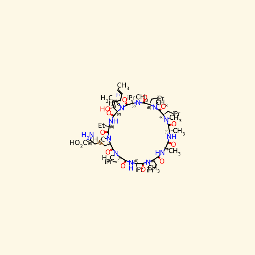 C/C=C/C[C@@H](C)[C@@H](O)[C@@H]1C(=O)N[C@H](CC)C(=O)N(C)[C@H](CSC[C@H](N)C(=O)O)C(=O)N(C)[C@@H](CC(C)C)C(=O)N[C@H](C(C)C)C(=O)N(C)[C@H](CC(C)C)C(=O)N[C@H](C)C(=O)N[C@@H](C)C(=O)N(C)[C@H](CC(C)C)C(=O)N(C)[C@H](CC(C)C)C(=O)N(C)[C@H](C(C)C)C(=O)N1C